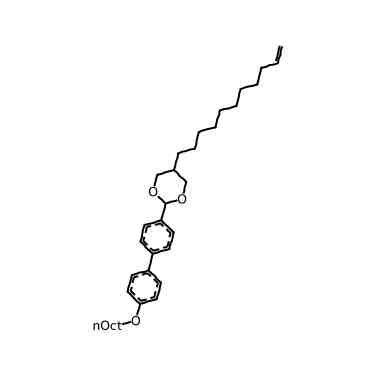 C=CCCCCCCCCCC1COC(c2ccc(-c3ccc(OCCCCCCCC)cc3)cc2)OC1